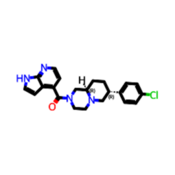 O=C(c1ccnc2[nH]ccc12)N1CCN2C[C@@H](c3ccc(Cl)cc3)CC[C@@H]2C1